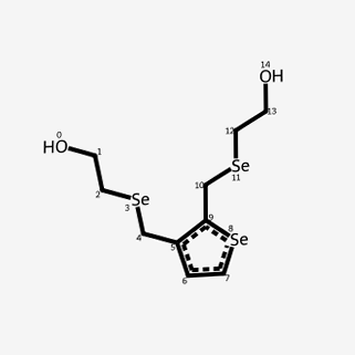 OCC[Se]Cc1cc[se]c1C[Se]CCO